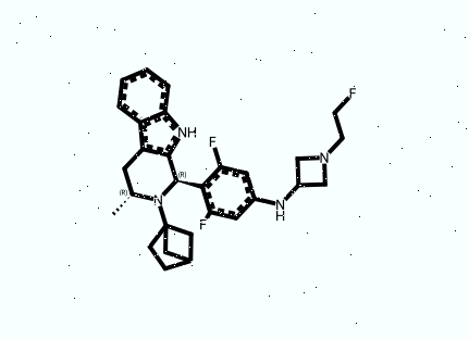 C[C@@H]1Cc2c([nH]c3ccccc23)[C@@H](c2c(F)cc(NC3CN(CCF)C3)cc2F)N1C12CCC(C1)C2